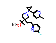 CCOC(C)(C)C1(CCc2ccc(F)cn2)CCN(C2(c3ccc(C)nc3)CC2)C1